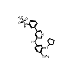 COc1ccc(Nc2cncc(-c3cccc(NS(C)(=O)=O)c3)c2)cc1OC1CCCC1